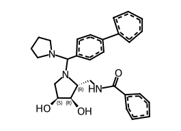 O=C(NC[C@@H]1[C@@H](O)[C@@H](O)CN1C(c1ccc(-c2ccccc2)cc1)N1CCCC1)c1ccccc1